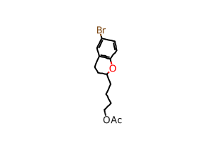 CC(=O)OCCCCC1CCc2cc(Br)ccc2O1